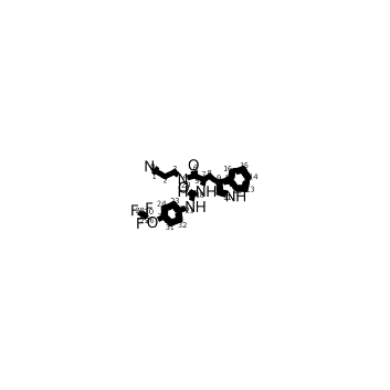 N#CCCNC(=O)C(Cc1c[nH]c2ccccc12)NC(=O)Nc1ccc(OC(F)(F)F)cc1